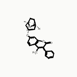 Cc1c(-c2ccccc2)c(=O)oc2cc(O[C@@H]3C[C@H]4CC[C@@H](C3)N4)ccc12